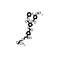 CC1(CCOCCC(O)c2ccc(C(=O)Oc3ccc(OC(=O)c4ccc(OC(F)(F)F)c(F)c4)c(C(=O)OCc4ccccc4)c3)cc2)CO1